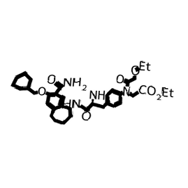 CCOCC(=O)N(CC(=O)OCC)c1ccc(C[C@H](N)C(=O)N[C@H]2CCCCc3cc(OCC4CCCCC4)c(C(N)=O)cc32)cc1